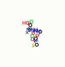 CSc1ccccc1Cn1c(C)cc(OCc2ccccc2CNC(=O)Nc2cc(C(C)(C)C)nn2-c2ccc(Cl)c(O)c2)c(Cl)c1=O